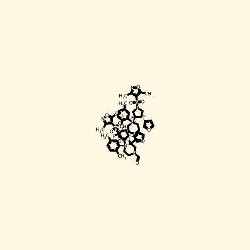 Cc1ccc(C)c([N+]2([C@H]3CN(S(=O)(=O)c4c(C)noc4C)C[C@@H]3c3ccoc3)CCN(C(=O)C3(OC(=O)C(F)(F)F)CN(C=O)CC[N@+]3(c3cc(C)ccc3C)[C@H]3CN(S(=O)(=O)c4c(C)noc4C)C[C@@H]3c3ccoc3)CC2)c1